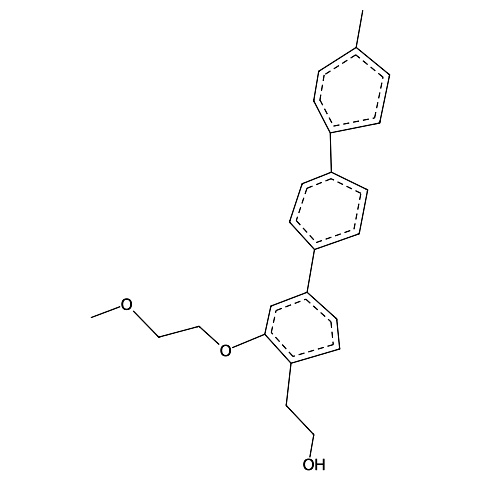 COCCOc1cc(-c2ccc(-c3ccc(C)cc3)cc2)ccc1CCO